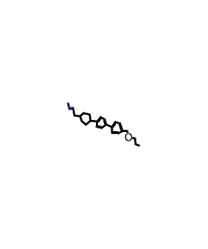 C/C=C/CC1CCC(c2ccc(-c3ccc(COCCC)cc3)cc2)CC1